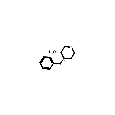 C[C@@H]1CNCC[C@H]1Cc1ccccc1